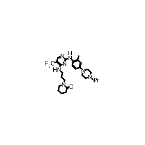 Cc1cc(N2CCN(C(C)C)CC2)ccc1Nc1ncc(C(F)(F)F)c(NCCCN2CCCCC2=O)n1